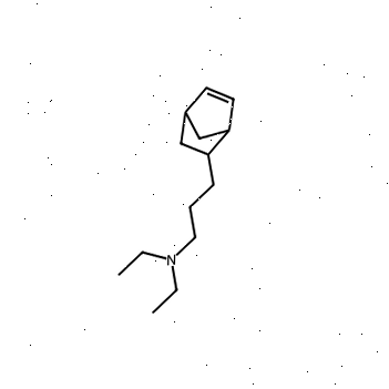 CCN(CC)CCCC1CC2C=CC1C2